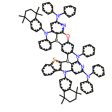 CC1(C)CCC(C)(C)c2cc(N3c4ccccc4B4c5cc6c(cc5Oc5nc(N(c7ccccc7)c7ccccc7)cc3c54)N(c3ccccc3)c3nc(N(c4ccccc4)c4ccccc4)cc4c3B6c3sc5ccccc5c3N4c3ccc4c(c3)C(C)(C)CCC4(C)C)ccc21